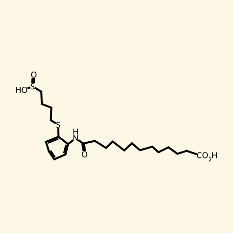 O=C(O)CCCCCCCCCCCC(=O)Nc1ccccc1SCCCCS(=O)O